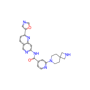 O=C(Nc1cc2nc(-c3cnco3)ccc2cn1)c1ccnc(N2CCC3(CC2)CNC3)c1